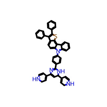 C1=CC(C2=CC(C3=CCNC=C3)NC(c3ccc(-n4c5ccccc5c5c6sc(-c7ccccc7)c(-c7ccccc7)c6ccc54)cc3)=N2)=CCN1